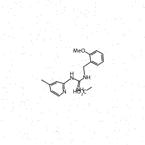 CC(=O)O.COc1ccccc1CNC(=N)Nc1cc(C)ccn1